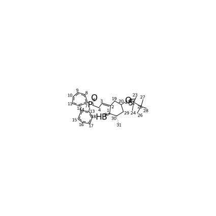 B=C1/C(=C\CP(=O)(c2ccccc2)c2ccccc2)CC(O[Si](C)(C)C(C)(C)C)C[C@@H]1C